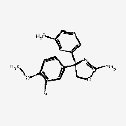 Bc1cccc(C2(c3ccc(OC)c(Cl)c3)COC(N)=N2)c1